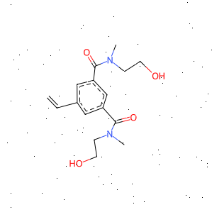 C=Cc1cc(C(=O)N(C)CCO)cc(C(=O)N(C)CCO)c1